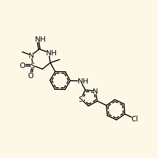 CN1C(=N)NC(C)(c2cccc(Nc3nc(-c4ccc(Cl)cc4)cs3)c2)CS1(=O)=O